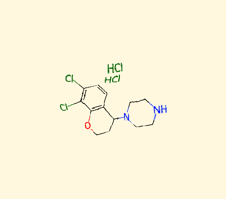 Cl.Cl.Clc1ccc2c(c1Cl)OCCC2N1CCNCC1